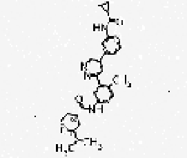 Cc1ccc(NC(=O)[C@H]2CCO[C@H](C(C)C)C2)cc1-c1cc(-c2ccnc(NC(=O)C3CC3)c2)cnn1